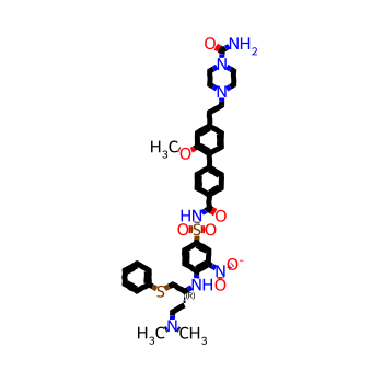 COc1cc(CCN2CCN(C(N)=O)CC2)ccc1-c1ccc(C(=O)NS(=O)(=O)c2ccc(N[C@H](CCN(C)C)CSc3ccccc3)c([N+](=O)[O-])c2)cc1